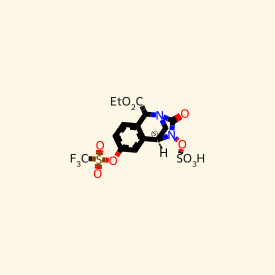 CCOC(=O)C1c2ccc(OS(=O)(=O)C(F)(F)F)cc2[C@H]2CN1C(=O)N2OS(=O)(=O)O